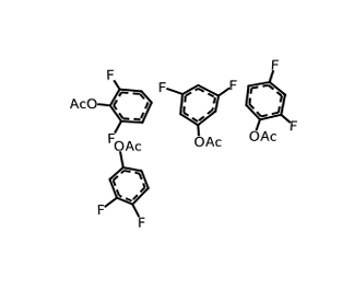 CC(=O)Oc1c(F)cccc1F.CC(=O)Oc1cc(F)cc(F)c1.CC(=O)Oc1ccc(F)c(F)c1.CC(=O)Oc1ccc(F)cc1F